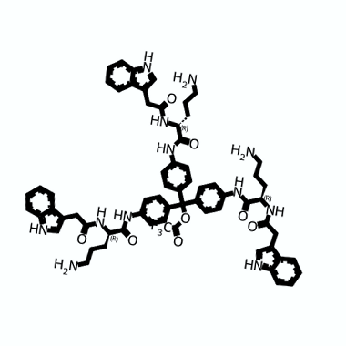 NCCC[C@@H](NC(=O)Cc1c[nH]c2ccccc12)C(=O)Nc1ccc(C(OC(=O)C(F)(F)F)(c2ccc(NC(=O)[C@@H](CCCN)NC(=O)Cc3c[nH]c4ccccc34)cc2)c2ccc(NC(=O)[C@@H](CCCN)NC(=O)Cc3c[nH]c4ccccc34)cc2)cc1